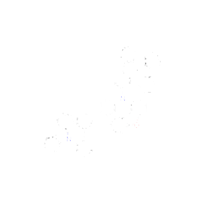 c1ccc(C2(c3ccccc3)c3ccccc3-c3ccc(N(c4ccc(-c5cccc(-c6ccccc6-n6c7ccccc7c7ccccc76)c5)cc4)c4cccc5oc6ccccc6c45)cc32)cc1